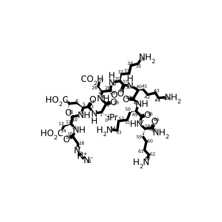 CC(C)[C@H](NC(=O)[C@H](CCC(=O)O)NC(=O)[C@H](CC(=O)O)NC(=O)CN=[N+]=[N-])C(=O)N[C@@H](CC(=O)O)C(=O)N[C@@H](CCCCN)C(=O)N[C@@H](CCCCN)C(=O)N[C@@H](CCCCN)C(=O)N[C@@H](CCCCN)C(N)=O